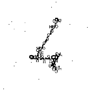 CC[C@@]1(O)C(=O)OCc2c1cc1n(c2=O)Cc2c-1nc1cc(F)c(C)c3c1c2C(NC(=O)CCNC(=O)CNC(=O)[C@H](Cc1ccccc1)NC(=O)CNC(=O)CNC(=O)CCOCCOCCOCCOCCNC(=O)CCN1C(=O)C=CC1=O)CC3